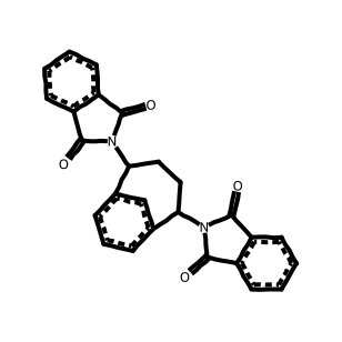 O=C1c2ccccc2C(=O)N1C1CCC(N2C(=O)c3ccccc3C2=O)c2cccc1c2